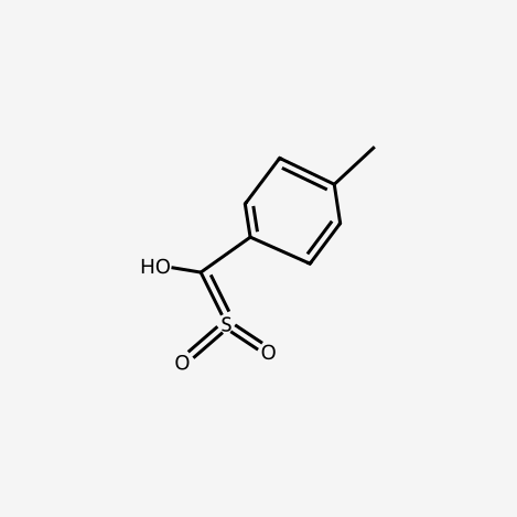 Cc1ccc(C(O)=S(=O)=O)cc1